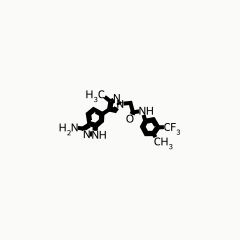 Cc1ccc(NC(=O)Cn2cc(-c3ccc4c(N)n[nH]c4c3)c(C)n2)cc1C(F)(F)F